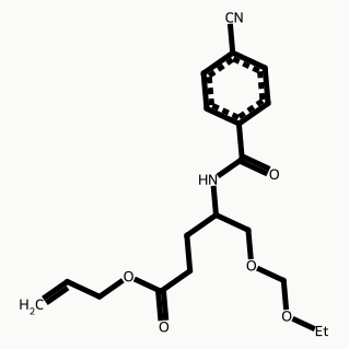 C=CCOC(=O)CCC(COCOCC)NC(=O)c1ccc(C#N)cc1